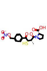 C[C@@H](C(=O)N1CCC[C@H]1C(=O)O)C(S)C(=O)c1ccc(CO[N+](=O)[O-])cc1